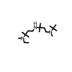 CCN(C)C(C)(C)CCNC(C)(C)CCN(C)C(C)(C)C